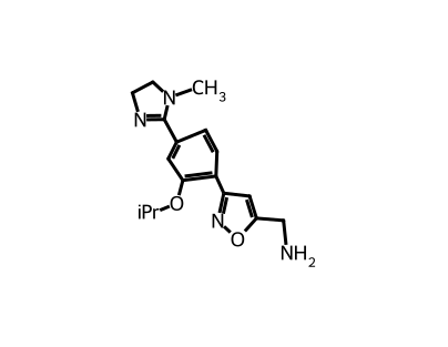 CC(C)Oc1cc(C2=NCCN2C)ccc1-c1cc(CN)on1